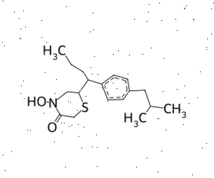 CCCC(c1ccc(CC(C)C)cc1)C1CN(O)C(=O)CS1